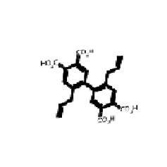 C=CCc1cc(C(=O)O)c(C(=O)O)cc1-c1cc(C(=O)O)c(C(=O)O)cc1CC=C